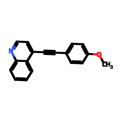 COc1ccc(C#Cc2ccnc3ccccc23)cc1